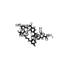 Cc1cc(CCCC(=O)NC(C(=O)N2C[C@H](O)C[C@H]2C(=O)N[C@@H](C)c2ccc(-c3scnc3C)cc2)C(C)(C)C)c(Cl)c(OCC(CCC(N)=O)NC(=O)O)c1